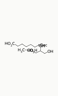 CC(=O)O.CCCCCCCCCCCCCCCC(=O)O.OCC(O)CO